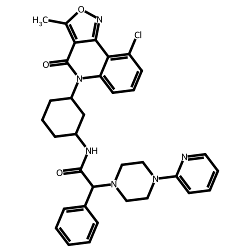 Cc1onc2c1c(=O)n(C1CCCC(NC(=O)C(c3ccccc3)N3CCN(c4ccccn4)CC3)C1)c1cccc(Cl)c21